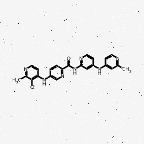 Cc1cc(Nc2ccnc(NC(=O)c3ccc(Nc4ccnc(C)c4Cl)cn3)c2)ccn1